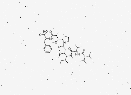 CC[C@H](C)C([C@@H](CC(=O)N1CCC[C@H]1[C@H](OC)[C@@H](C)C(=O)NC(Cc1ccccc1)C(=O)O)OC)N(C)C(=O)C(NC(=O)[C@H](C(C)C)N(C)C)C(C)C